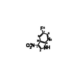 O=[N+]([O-])c1c[nH]c2ncc(F)cc12